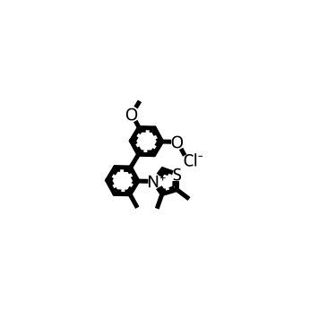 COc1cc(OC)cc(-c2cccc(C)c2-[n+]2csc(C)c2C)c1.[Cl-]